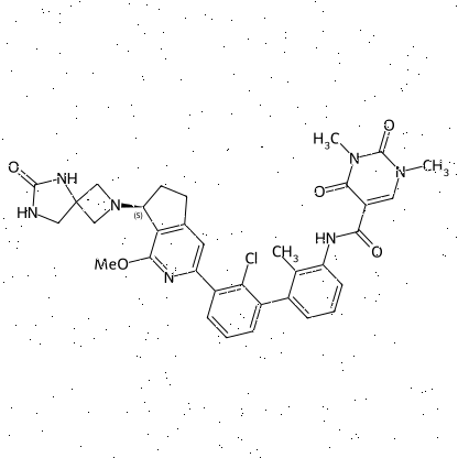 COc1nc(-c2cccc(-c3cccc(NC(=O)c4cn(C)c(=O)n(C)c4=O)c3C)c2Cl)cc2c1[C@@H](N1CC3(CNC(=O)N3)C1)CC2